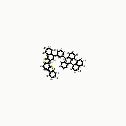 c1cc(-c2c3ccccc3c(-c3cccc4ccccc34)c3ccccc23)cc(-c2cc3c(sc4ccc5c6ccccc6sc5c43)c3ccccc23)c1